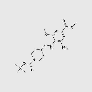 COC(=O)c1cc(N)c(NCC2CCN(C(=O)OC(C)(C)C)CC2)c(OC)c1